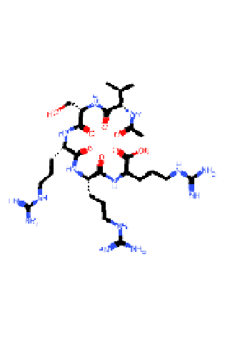 CC(=O)N[C@H](C(=O)N[C@@H](CO)C(=O)N[C@@H](CCCNC(=N)N)C(=O)N[C@@H](CCCNC(=N)N)C(=O)NC(CCCNC(=N)N)C(=O)O)C(C)C